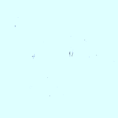 Cn1cnc(S(=O)(=O)N2CC(Nc3cccc(C(F)(F)F)c3)C(c3cccc(F)c3)C2)c1